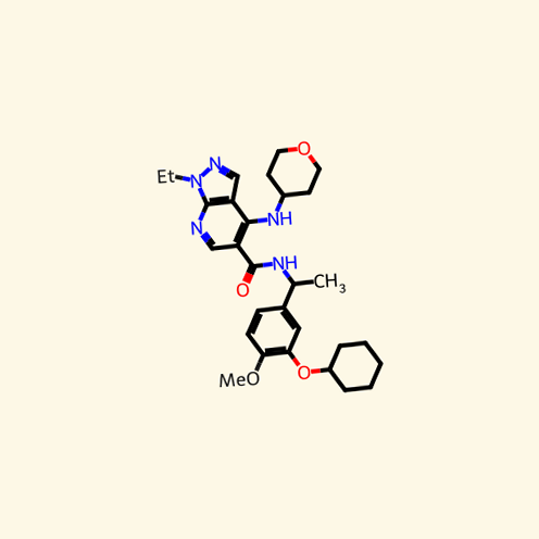 CCn1ncc2c(NC3CCOCC3)c(C(=O)NC(C)c3ccc(OC)c(OC4CCCCC4)c3)cnc21